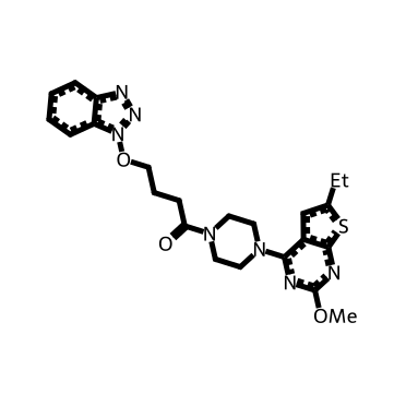 CCc1cc2c(N3CCN(C(=O)CCCOn4nnc5ccccc54)CC3)nc(OC)nc2s1